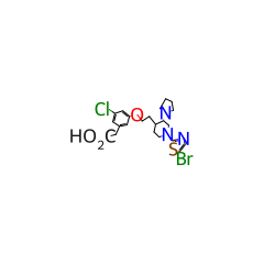 O=C(O)Cc1cc(Cl)cc(OCCC2CCN(c3ncc(Br)s3)CC2N2CCCC2)c1